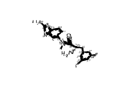 Bc1nc2cc(N(C)C(=O)[C@@H](N)Cc3cc(F)cc(F)c3)ccc2s1